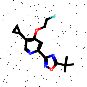 CC(C)(C)c1nc(-c2cc(OCCF)c(C3CC3)cn2)no1